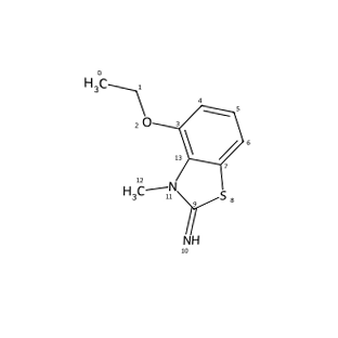 CCOc1cccc2sc(=N)n(C)c12